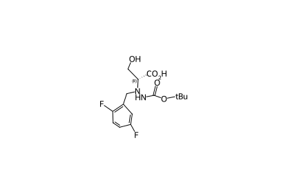 CC(C)(C)OC(=O)NN(Cc1cc(F)ccc1F)[C@H](CO)C(=O)O